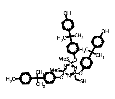 CSP1(Oc2ccc(C(C)(C)c3ccc(O)cc3)cc2)=NP(CS)(Oc2ccc(C(C)(C)c3ccc(O)cc3)cc2)=NP(Oc2ccc(C(C)(C)c3ccc(C)cc3)cc2)(SC)=N1